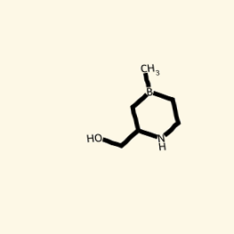 CB1CCNC(CO)C1